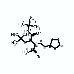 CC(C)(C)CC(C(=O)NC(C)(C)C)[C@H](CCC1CCCC1)C(N)=O